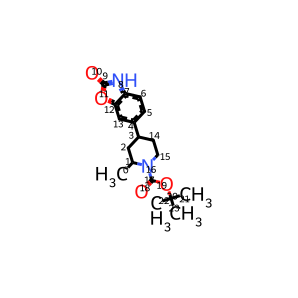 CC1CC(c2ccc3[nH]c(=O)oc3c2)CCN1C(=O)OC(C)(C)C